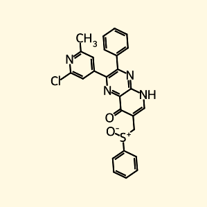 Cc1cc(-c2nc3c(=O)c(C[S+]([O-])c4ccccc4)c[nH]c3nc2-c2ccccc2)cc(Cl)n1